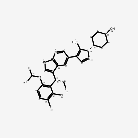 Cc1c(-c2cnc3[nH]cc([C@H](CF)c4c(OC(F)F)ccc(F)c4Cl)c3c2)cnn1[C@H]1CC[C@H](O)CC1